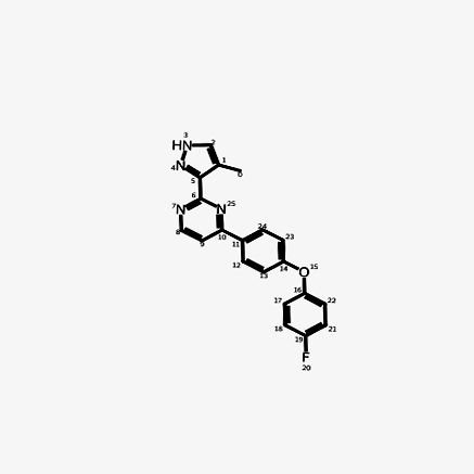 Cc1c[nH]nc1-c1nccc(-c2ccc(Oc3ccc(F)cc3)cc2)n1